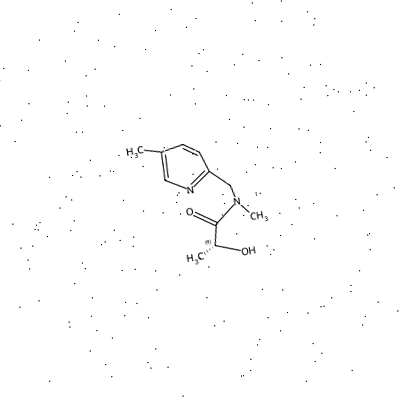 Cc1ccc(CN(C)C(=O)[C@@H](C)O)nc1